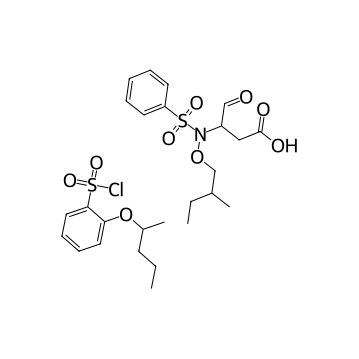 CCC(C)CON(C(C=O)CC(=O)O)S(=O)(=O)c1ccccc1.CCCC(C)Oc1ccccc1S(=O)(=O)Cl